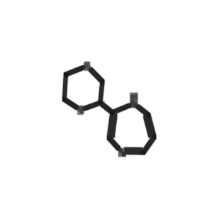 C1=CNC([C]2CSCCS2)=CN=C1